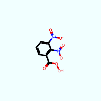 O=C(OO)c1cccc([N+](=O)[O-])c1[N+](=O)[O-]